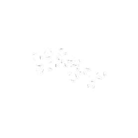 c1ccc(-c2ccccc2-c2ccc(N(c3ccccc3)c3ccccc3-c3ccc4c5ccccc5n(-c5ccc6c(c5)C(c5ccccc5)(c5ccccc5)c5ccccc5-6)c4c3)cc2)cc1